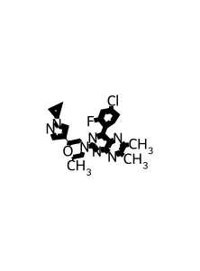 Cc1nc2nc(N3C[C@@H](c4cnn(C5CC5)c4)O[C@@H](C)C3)nc(-c3ccc(Cl)cc3F)c2nc1C